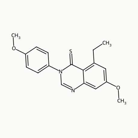 CCc1cc(OC)cc2ncn(-c3ccc(OC)cc3)c(=S)c12